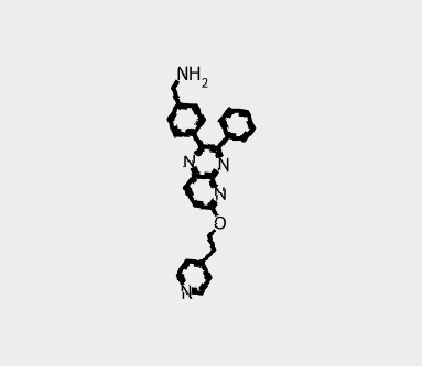 NCc1ccc(-c2nc3ccc(OCCc4ccncc4)nc3nc2-c2ccccc2)cc1